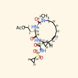 CC(=O)OCC[C@@H]1NC(=O)N(C)CCCC/C=C\[C@@H]2C[C@@]2(C(=O)NS(=O)(=O)C2CC2)NC1=O